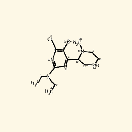 CCN(CC)c1nc(Cl)c(Br)c(C2CNCCN2C)n1